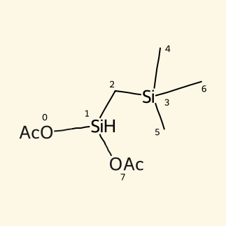 CC(=O)O[SiH](C[Si](C)(C)C)OC(C)=O